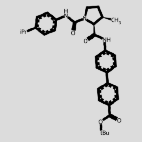 CC(C)c1ccc(NC(=O)N2CC[C@@H](C)[C@H]2C(=O)Nc2ccc(-c3ccc(C(=O)OC(C)(C)C)cc3)cc2)cc1